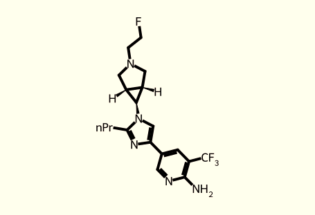 CCCc1nc(-c2cnc(N)c(C(F)(F)F)c2)cn1[C@H]1[C@@H]2CN(CCF)C[C@@H]21